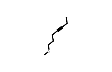 [CH2]CC#CCCCSC